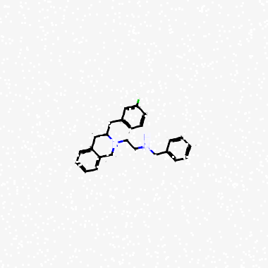 Clc1cccc(CC2Cc3ccccc3CN2CCNCc2ccccc2)c1